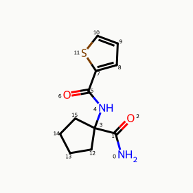 NC(=O)C1(NC(=O)c2cccs2)CCCC1